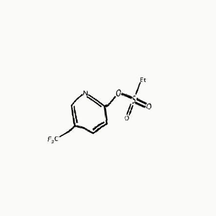 CCS(=O)(=O)Oc1ccc(C(F)(F)F)cn1